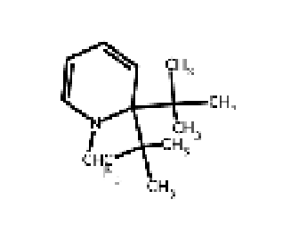 CN1C=CC=CC1(C(C)(C)C)C(C)(C)C